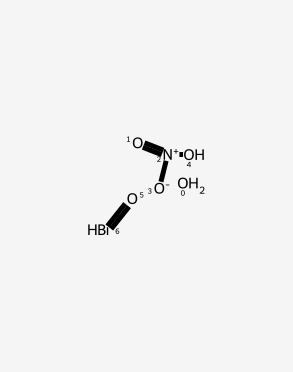 O.O=[N+]([O-])O.[O]=[BiH]